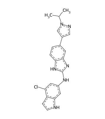 CC(C)n1cc(-c2ccc3[nH]c(Nc4cc(Cl)c5cc[nH]c5c4)nc3c2)cn1